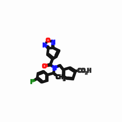 CC(c1ccc(F)cc1)N(Cc1cccc(C(=O)O)c1)C(=O)c1ccc2nonc2c1